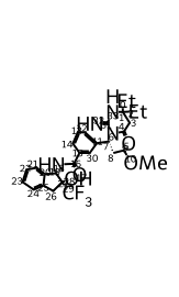 CCC1(CC)CC(=O)N([C@H](CCOC)c2cccc(C(=O)NC3c4ccccc4CC3(O)C(F)(F)F)c2)C(=N)N1